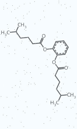 CC(C)CCCC(=O)Oc1ccccc1OC(=O)CCCC(C)C